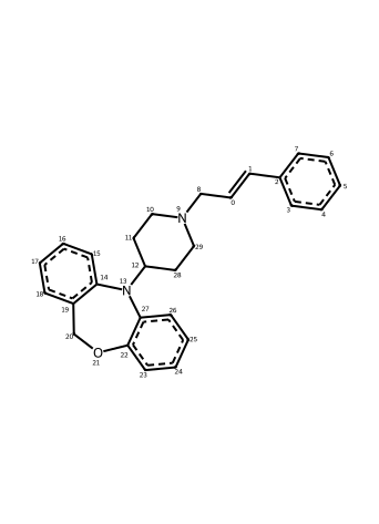 C(=Cc1ccccc1)CN1CCC(N2c3ccccc3COc3ccccc32)CC1